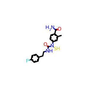 Cc1cc(N(S)C(=O)NCCc2ccc(F)cc2)ccc1C(N)=O